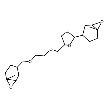 CC12CCC(COCCOCC3COC(C4CCC5(C)OC5C4)O3)CC1O2